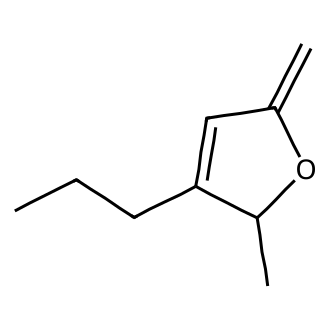 C=C1C=C(CCC)C(C)O1